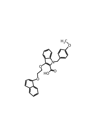 COc1ccc(Cn2c(C(=O)O)c(OCCOc3cccc4ccccc34)c3ccccc32)cc1